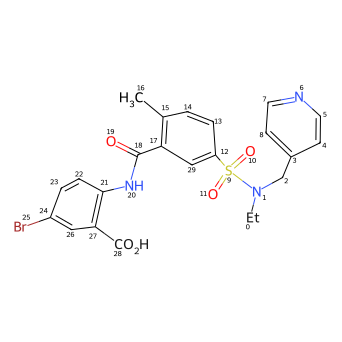 CCN(Cc1ccncc1)S(=O)(=O)c1ccc(C)c(C(=O)Nc2ccc(Br)cc2C(=O)O)c1